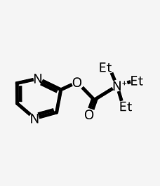 CC[N+](CC)(CC)C(=O)Oc1cnccn1